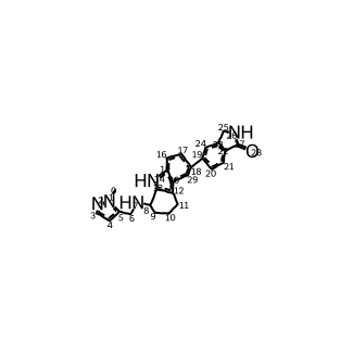 Cn1nccc1CNC1CCCc2c1[nH]c1ccc(-c3ccc4c(c3)CNC4=O)cc21